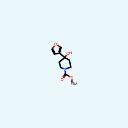 CC(C)(C)OC(=O)N1CCC(O)(c2ccoc2)CC1